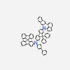 c1ccc(-c2ccc(N(c3ccc4c(c3)C(c3ccccc3)(c3ccccc3)c3cc(N5c6cc7ccccc7cc6-c6cccc7cccc5c67)ccc3-4)c3ccc4c(c3)C3(c5ccccc5-c5ccccc53)c3ccccc3-4)cc2)cc1